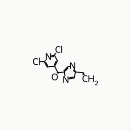 C=Cc1cnc(C(=O)c2cc(Cl)nc(Cl)c2)cn1